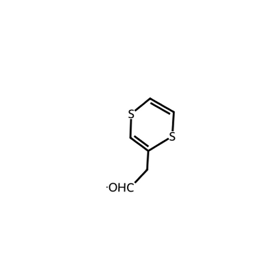 O=[C]CC1=CSC=CS1